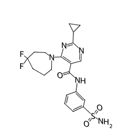 NS(=O)(=O)c1cccc(NC(=O)c2cnc(C3CC3)nc2N2CCCC(F)(F)CC2)c1